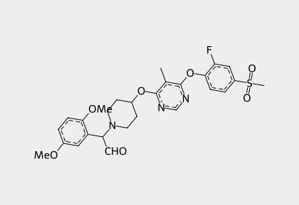 COc1ccc(OC)c(C(C=O)N2CCC(Oc3ncnc(Oc4ccc(S(C)(=O)=O)cc4F)c3C)CC2)c1